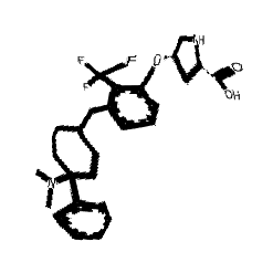 CN(C)C1(c2ccccc2)CCC(Cc2cccc(O[C@@H]3CN[C@H](C(=O)O)C3)c2C(F)(F)F)CC1